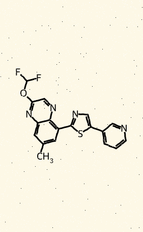 Cc1cc(-c2ncc(-c3cccnc3)s2)c2ncc(OC(F)F)nc2c1